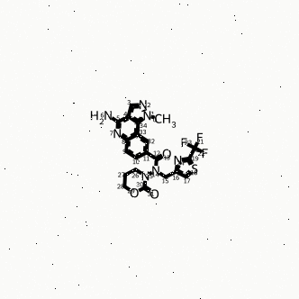 Cn1ncc2c(N)nc3ccc(C(=O)N(Cc4csc(C(F)(F)F)n4)N4CCCOC4=O)cc3c21